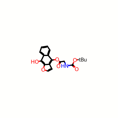 CC(C)(C)OC(=O)NCC(=O)Oc1c2ccccc2c(O)c2occc12